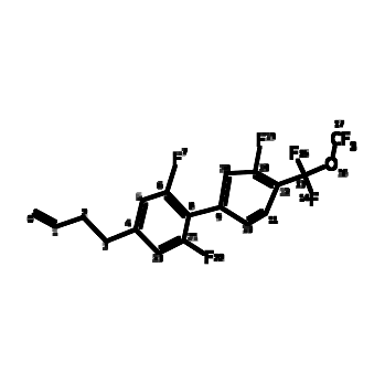 C=CCCc1cc(F)c(-c2ccc(C(F)(F)OC(F)(F)F)c(F)c2)c(F)c1